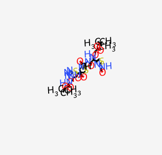 CC(C)(C)OC(=O)CON=C(C(=O)NC1C(=O)N2CC(C(=O)O)(C(CCCNC(=O)OC(C)(C)C)Sc3nnn[nH]3)CS[C@H]12)c1csc(NC=O)n1